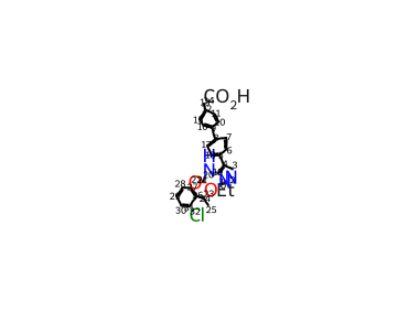 CCn1ncc(-c2ccc(-c3ccc(CC(=O)O)cc3)cc2)c1NC(=O)OC(C)c1ccccc1Cl